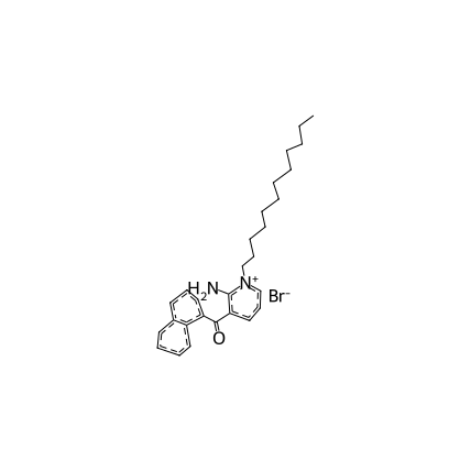 CCCCCCCCCCCC[n+]1cccc(C(=O)c2cccc3ccccc23)c1N.[Br-]